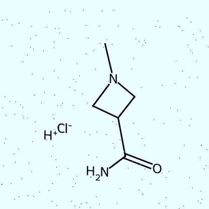 CN1CC(C(N)=O)C1.[Cl-].[H+]